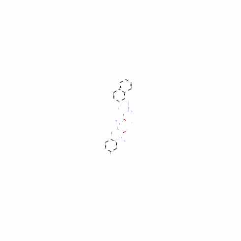 CNC(=O)[C@@H](Cc1ccc(F)cc1)N(C)C(=O)[C@@H](Cc1ccc2ccccc2c1)NC